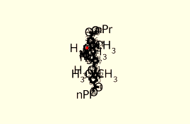 CCCOCC(=O)c1ccc2c(c1)N(C)/C(=C/C=C1\CCC(/C=C/C3=[N+](C)c4cc(C(=O)COCCC)ccc4C3(C)C)=C1Sc1nnc(CC)s1)C2(C)C